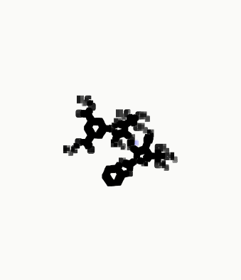 COC(=O)c1cc(C(=O)OC)cc(-n2nc(C(C)(C)C)c(/N=N/c3c(C#N)c(C(C)(C)C)nn3-c3nc4ccccc4s3)c2N)c1